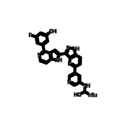 CCCCC(O)Nc1cncc(-c2ccc3[nH]nc(-c4cc5c(-c6cc(O)cc(F)c6)nccc5[nH]4)c3n2)c1